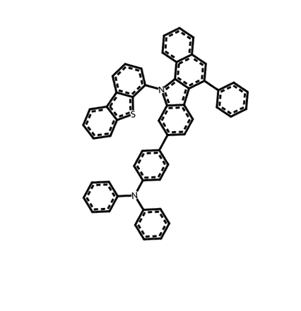 c1ccc(-c2cc3ccccc3c3c2c2ccc(-c4ccc(N(c5ccccc5)c5ccccc5)cc4)cc2n3-c2cccc3c2sc2ccccc23)cc1